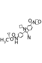 C[C@@H](OC(=O)Nc1ccc(-c2c(C#N)c3ccc(C(=O)N4CCOCC4)cc3n2C2CCC2)cc1)C1CC1